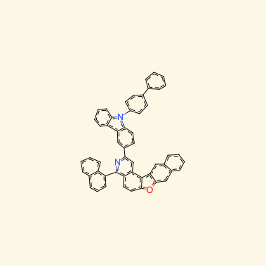 c1ccc(-c2ccc(-n3c4ccccc4c4cc(-c5cc6c(ccc7oc8cc9ccccc9cc8c76)c(-c6cccc7ccccc67)n5)ccc43)cc2)cc1